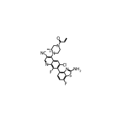 C=CC(=O)N1CCN(c2c(C#N)cnc3c(F)c(-c4ccc(F)c5sc(N)nc45)c(Cl)cc23)[C@@H](C)C1